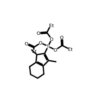 CCC(=O)[O][Ti]([O]C(=O)CC)([O]C(=O)CC)[C]1=C(C)C2=C(CCCC2)C1C